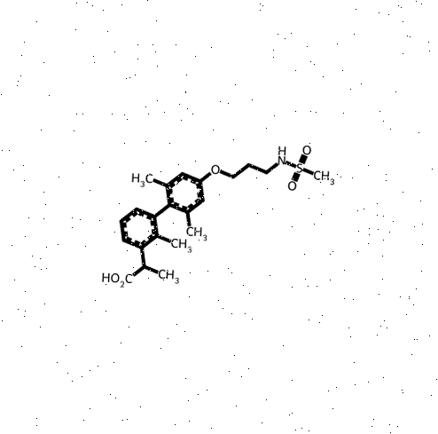 Cc1cc(OCCCNS(C)(=O)=O)cc(C)c1-c1cccc(C(C)C(=O)O)c1C